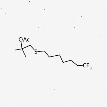 CC(=O)OC(C)(C)CSCCCCCCC(F)(F)F